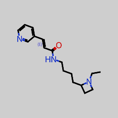 CCN1CCC1CCCCNC(=O)/C=C/c1cccnc1